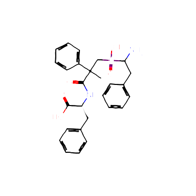 CC(CP(=O)(O)C(N)Cc1ccccc1)(C(=O)N[C@@H](Cc1ccccc1)C(=O)O)c1ccccc1